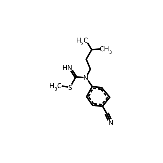 CSC(=N)N(CCC(C)C)c1ccc(C#N)cc1